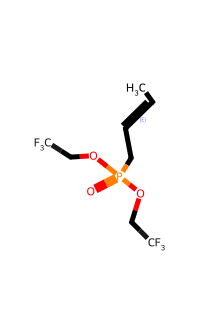 C/C=C/CP(=O)(OCC(F)(F)F)OCC(F)(F)F